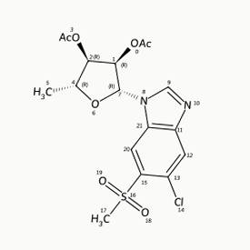 CC(=O)O[C@@H]1[C@H](OC(C)=O)[C@@H](C)O[C@H]1n1cnc2cc(Cl)c(S(C)(=O)=O)cc21